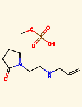 C=CCNCCN1CCCC1=O.COS(=O)(=O)O